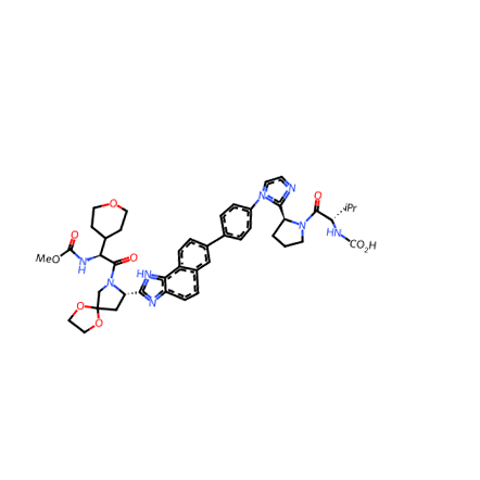 COC(=O)N[C@H](C(=O)N1CC2(C[C@H]1c1nc3ccc4cc(-c5ccc(-n6ccnc6[C@@H]6CCCN6C(=O)[C@@H](NC(=O)O)C(C)C)cc5)ccc4c3[nH]1)OCCO2)C1CCOCC1